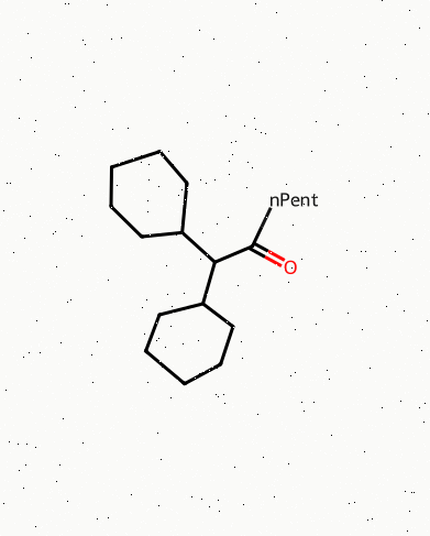 CCCCCC(=O)C(C1CCCCC1)C1CCCCC1